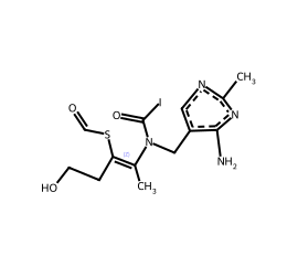 C/C(=C(\CCO)SC=O)N(Cc1cnc(C)nc1N)C(=O)I